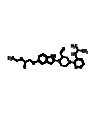 CCOC(=O)COc1ccc2[nH]c(N3CCN(c4ncccc4NC(C)C)CC3C=O)cc2c1